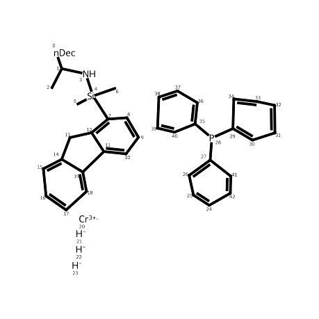 CCCCCCCCCCC(C)N[Si](C)(C)c1cccc2c1Cc1ccccc1-2.[Cr+3].[H-].[H-].[H-].c1ccc(P(c2ccccc2)c2ccccc2)cc1